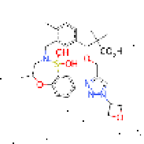 Cc1ccc(C(OCc2cn(C3COC3)nn2)C(C)(C)C(=O)O)cc1CN1CC(C)Oc2ccccc2S1(O)O